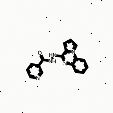 O=C(NNc1nc2ccccc2n2cccc12)c1cccnc1